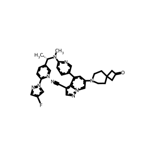 C[C@@H](c1ccc(-n2cc(F)cn2)nc1)N(C)c1ccc(-c2cc(N3CCC4(CC3)CC(=O)C4)cn3ncc(C#N)c23)cn1